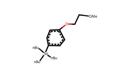 CCC[CH2][Sn]([CH2]CCC)([CH2]CCC)[c]1ccc(OCCOC)cc1